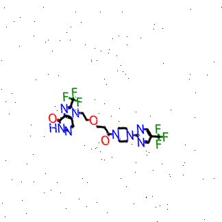 O=C(CCOCCn1c(C(F)(F)F)nc2c(=O)[nH]ncc21)N1CCN(c2ncc(C(F)(F)F)cn2)CC1